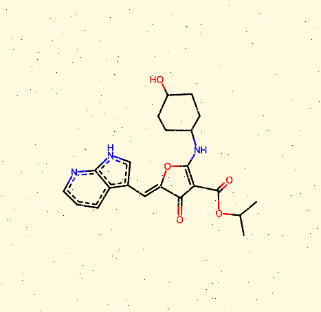 CC(C)OC(=O)C1=C(NC2CCC(O)CC2)OC(=Cc2c[nH]c3ncccc23)C1=O